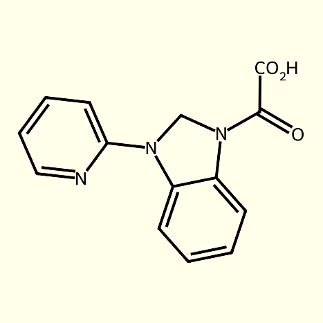 O=C(O)C(=O)N1CN(c2ccccn2)c2ccccc21